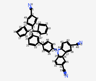 N#Cc1ccc([Si](c2ccccc2)(c2ccccc2)c2cccc(-c3ccc(-n4c5ccc(C#N)cc5c5cc(C#N)ccc54)cc3)c2)cc1